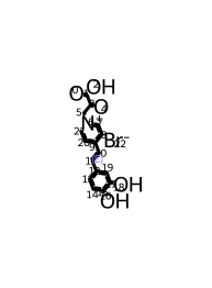 O=C(O)C(=O)C[n+]1ccc(/C=C/c2ccc(O)c(O)c2)cc1.[Br-]